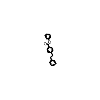 O=C(Oc1ccccc1)c1ccc(CCc2ccccc2)cc1